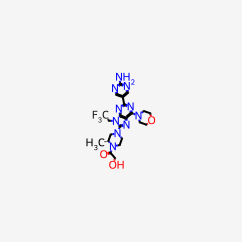 C[C@@H]1CN(c2nc3c(N4CCOCC4)nc(-c4cnc(N)nc4)nc3n2CC(F)(F)F)CCN1C(=O)CO